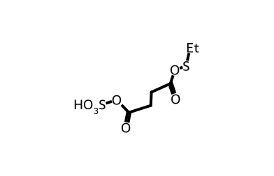 CCSOC(=O)CCC(=O)OS(=O)(=O)O